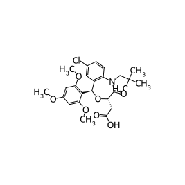 COc1cc(OC)c([C@@H]2O[C@@H](CC(=O)O)C(=O)N(CC(C)(C)C)c3ccc(Cl)cc32)c(OC)c1